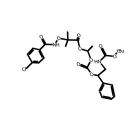 CC(OC(=O)OC(CNC(=O)OC(C)(C)C)c1ccccc1)OC(=O)C(C)(C)ONC(=O)c1ccc(Cl)cc1